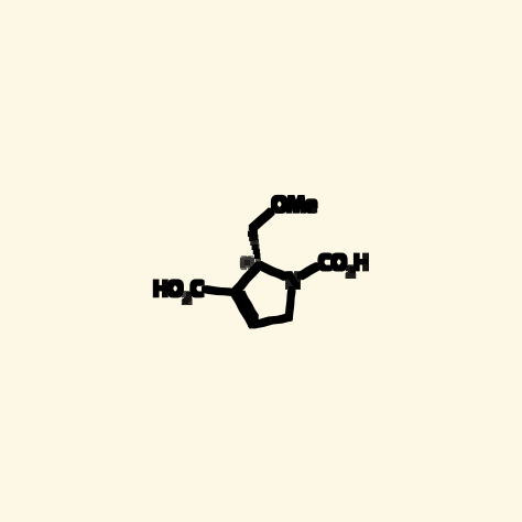 COC[C@H]1C(C(=O)O)=CCN1C(=O)O